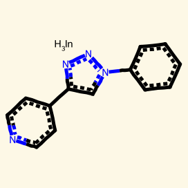 [InH3].c1ccc(-n2cc(-c3ccncc3)nn2)cc1